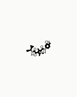 C#CC(NC(=O)C(=O)c1c(C)c(C(=O)Nc2ccc(C)c(C#N)c2)n(C)c1C)C1CC1